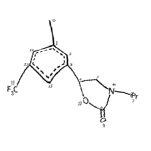 Cc1cc(C2CN(C(C)C)C(=O)O2)cc(C(F)(F)F)c1